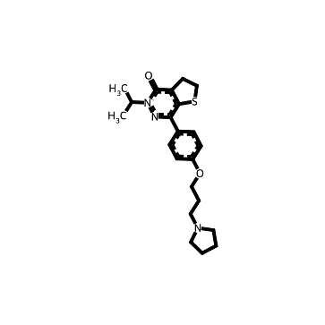 CC(C)n1nc(-c2ccc(OCCCN3CCCC3)cc2)c2c(c1=O)CCS2